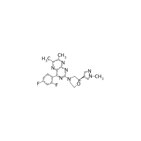 Cc1nc2nc(N3CCO[C@H](c4cnn(C)c4)C3)nc(-c3ccc(F)cc3F)c2nc1C